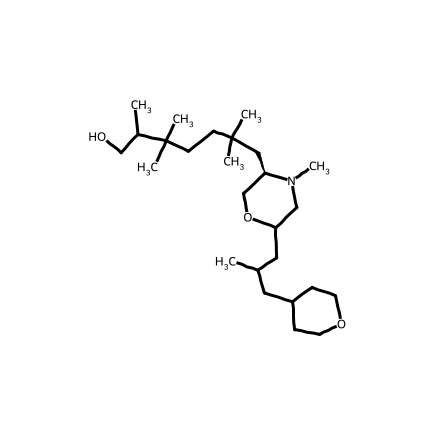 CC(CC1CCOCC1)CC1CN(C)[C@H](CC(C)(C)CCC(C)(C)C(C)CO)CO1